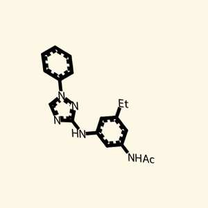 CCc1cc(NC(C)=O)cc(Nc2ncn(-c3ccccc3)n2)c1